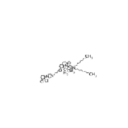 CCCCCCCCCN(CCCCCCCCC)C(=O)OC(C(C)C)N1C(=O)CCc2ccc(OCCCCN3CCN(c4cccc(Cl)c4Cl)CC3)cc21